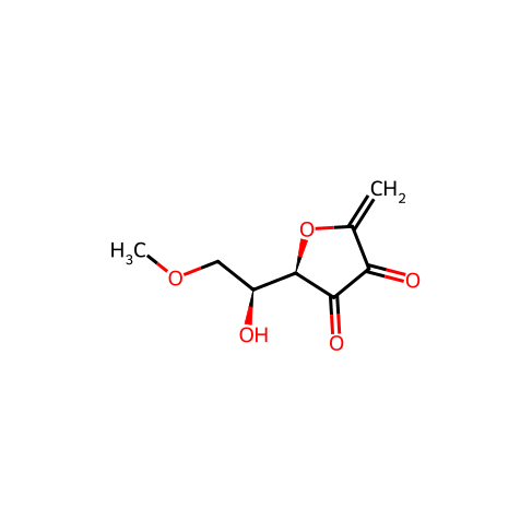 C=C1O[C@H]([C@@H](O)COC)C(=O)C1=O